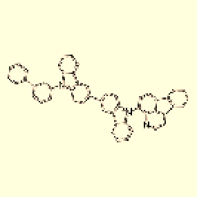 c1ccc(-c2cccc(-n3c4ccccc4c4cc(-c5ccc6c(c5)c5ccccc5n6-c5ccc6c7c(ccnc57)-c5ccccc5-6)ccc43)c2)cc1